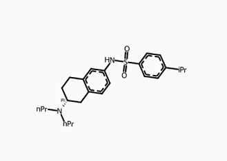 CCCN(CCC)[C@@H]1CCc2cc(NS(=O)(=O)c3ccc(C(C)C)cc3)ccc2C1